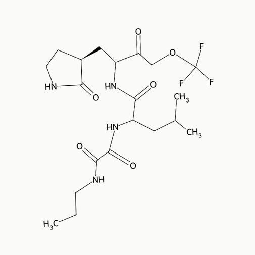 CCCNC(=O)C(=O)NC(CC(C)C)C(=O)NC(C[C@@H]1CCNC1=O)C(=O)COC(F)(F)F